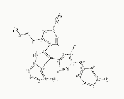 C#Cc1ccc(-c2[nH]c3ncnc(N)c3c2-c2ccc(Oc3nccc(C)n3)c(F)c2)c(CCCO)c1